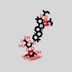 C/C=C(/C)C(=O)O[C@H]1[C@H](OC(=O)/C(C)=C\C)[C@@]2(CO)C(CC1(C)C)C1=CCC3[C@@]4(C)CC[C@H](O[C@@H]5OC(C(=O)O)[C@@H](O)[C@@H](O[C@@H]6O[C@@H](CO)C(O)[C@@H]6O)C5O[C@@H]5OC(CO)[C@H](O)[C@@H](O)C5O)C(C)(C)C4CC[C@@]3(C)[C@]1(C)C[C@H]2O